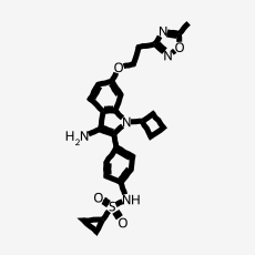 Cc1nc(CCOc2ccc3c(N)c(-c4ccc(NS(=O)(=O)C5CC5)cc4)n(C4CCC4)c3c2)no1